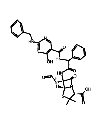 CC1(C)S[C@H]2N(C(=O)[C@@]2(NC=O)NC(=O)C(NC(=O)c2cnc(NCc3ccccc3)nc2O)c2ccccc2)[C@H]1C(=O)O